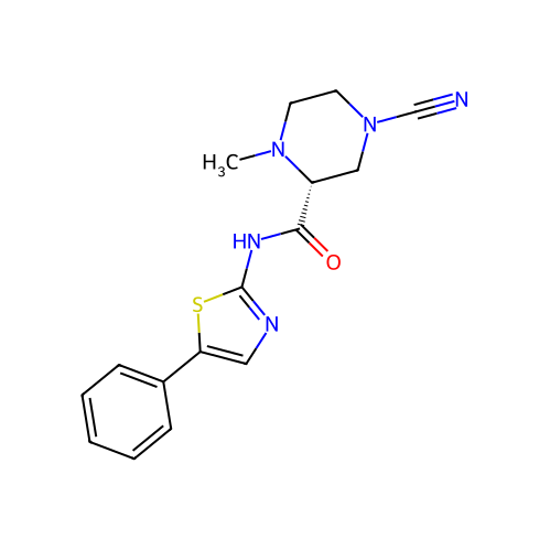 CN1CCN(C#N)C[C@@H]1C(=O)Nc1ncc(-c2ccccc2)s1